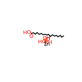 CCCCCCCCCCCCCCCCCC(=O)O.O=P(O)(O)O.[Zn]